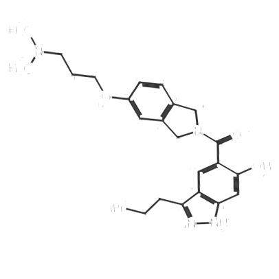 CC(C)CCc1n[nH]c2cc(O)c(C(=O)N3Cc4ccc(OCCCN(C)C)cc4C3)cc12